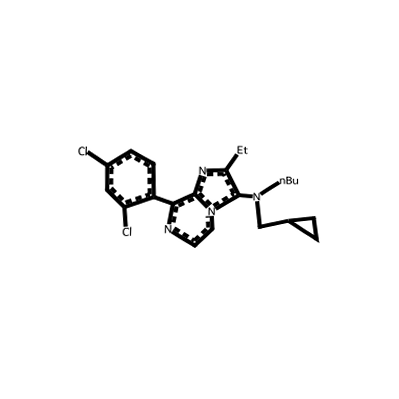 CCCCN(CC1CC1)c1c(CC)nc2c(-c3ccc(Cl)cc3Cl)nccn12